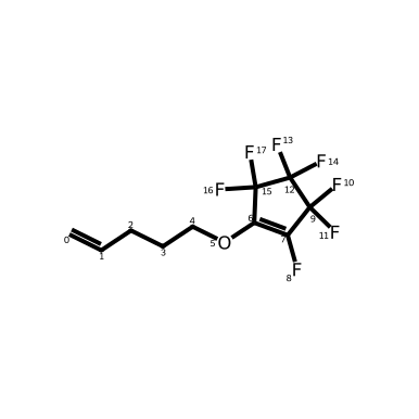 C=CCCCOC1=C(F)C(F)(F)C(F)(F)C1(F)F